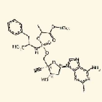 C#C[C@]1(COP(=O)(NC(Cc2ccccc2)C(=O)O)OC(C)C(=O)OCCCCCCCC)O[C@@H](n2cnc3c(N)nc(F)nc32)C[C@@H]1O